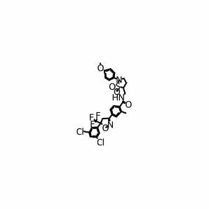 COc1ccc(N2CCC(CNC(=O)c3ccc(C4=NOC(c5cc(Cl)cc(Cl)c5)(C(F)(F)F)C4)cc3C)S2(=O)=O)cc1